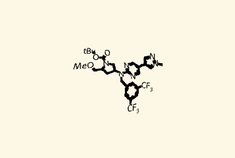 COCC1CC(N(Cc2cc(C(F)(F)F)cc(C(F)(F)F)c2)c2ncc(-c3cnn(C)c3)cn2)CN1C(=O)OC(C)(C)C